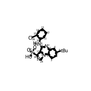 CC(C)(C)c1ccc2c(c1)nc(Nc1ccccc1Cl)c1c(P(=O)(O)O)ncn12